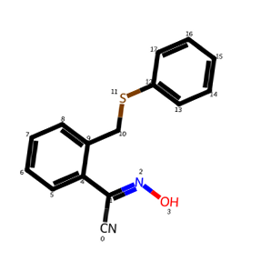 N#CC(=NO)c1ccccc1CSc1ccccc1